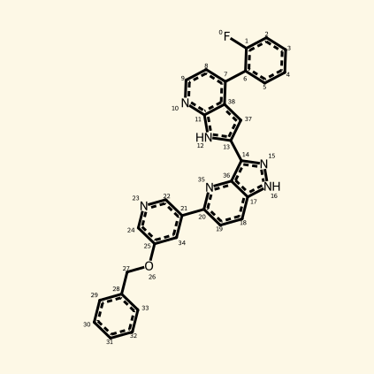 Fc1ccccc1-c1ccnc2[nH]c(-c3n[nH]c4ccc(-c5cncc(OCc6ccccc6)c5)nc34)cc12